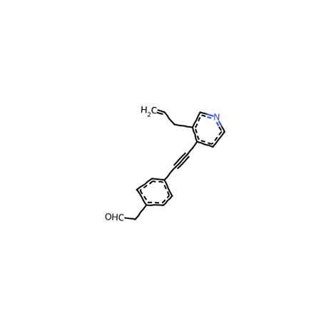 C=CCc1cnccc1C#Cc1ccc(CC=O)cc1